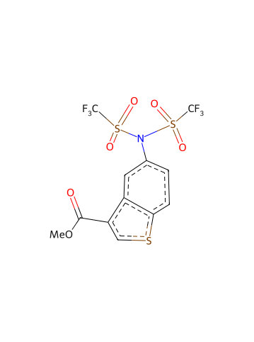 COC(=O)c1csc2ccc(N(S(=O)(=O)C(F)(F)F)S(=O)(=O)C(F)(F)F)cc12